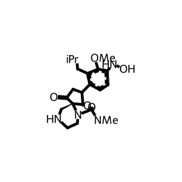 CNC(=O)N1CCNC[C@]12C(=O)CC(c1ccc(NO)c(OC)c1CC(C)C)C2=O